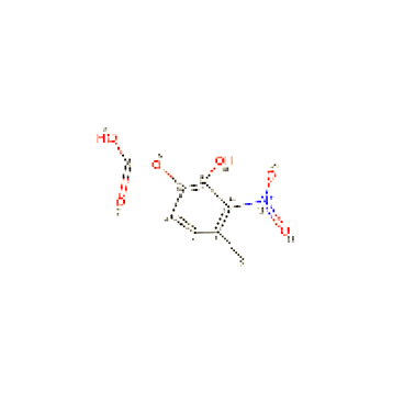 Cc1ccc(OC(=O)O)c(O)c1[N+](=O)[O-]